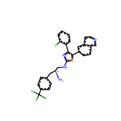 N[C@H](CNc1nc(-c2ccccc2F)c(-c2ccc3cnccc3c2)s1)Cc1ccc(C(F)(F)F)cc1